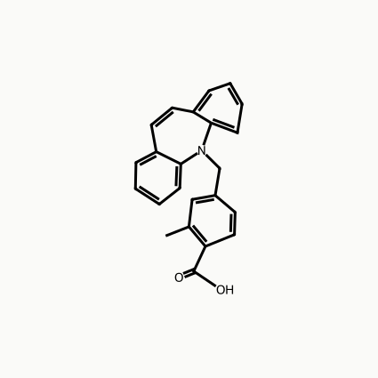 Cc1cc(CN2c3ccccc3C=Cc3ccccc32)ccc1C(=O)O